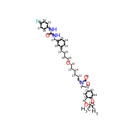 CC1(C)OCc2cc([C@@H]3CN(CCCCCCOCCCCc4cccc(CNC(=O)Nc5ccc(F)cc5)c4)C(=O)O3)ccc2O1